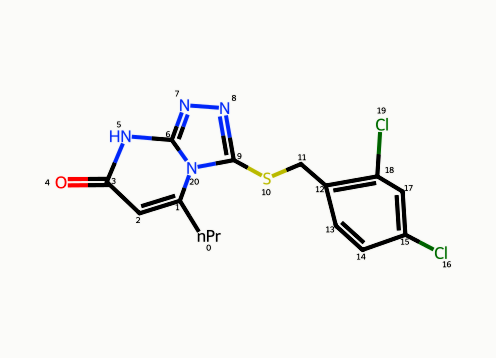 CCCc1cc(=O)[nH]c2nnc(SCc3ccc(Cl)cc3Cl)n12